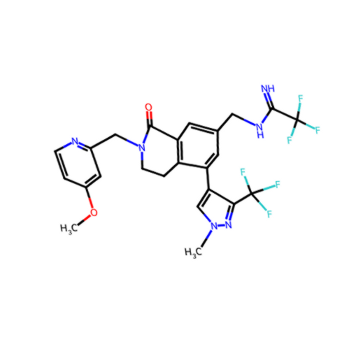 COc1ccnc(CN2CCc3c(cc(CNC(=N)C(F)(F)F)cc3-c3cn(C)nc3C(F)(F)F)C2=O)c1